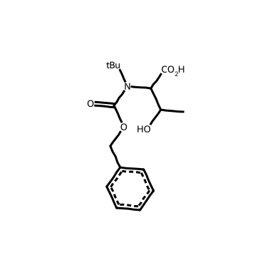 CC(O)C(C(=O)O)N(C(=O)OCc1ccccc1)C(C)(C)C